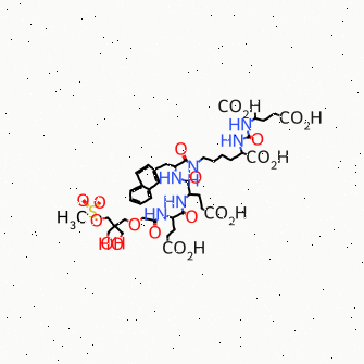 CS(=O)(=O)OCC(CO)(CO)COCC(=O)NC(CCC(=O)O)C(=O)NC(CCC(=O)O)C(=O)NC(Cc1ccc2ccccc2c1)C(=O)NCCCCC(NC(=O)NC(CCC(=O)O)C(=O)O)C(=O)O